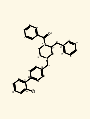 O=C(c1ccccc1)N1CCN(Cc2ccc(-c3ccccc3Cl)cc2)CC1Cc1ccccc1